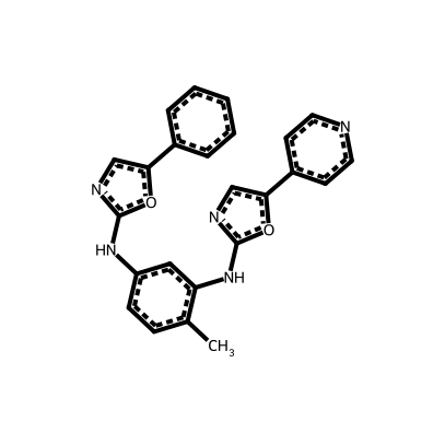 Cc1ccc(Nc2ncc(-c3ccccc3)o2)cc1Nc1ncc(-c2ccncc2)o1